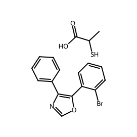 Brc1ccccc1-c1ocnc1-c1ccccc1.CC(S)C(=O)O